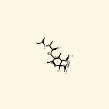 CC(=O)OC(C)C(=O)NC1=C(I)C(C(=O)Cl)C(I)(C(=O)Cl)C=C1I